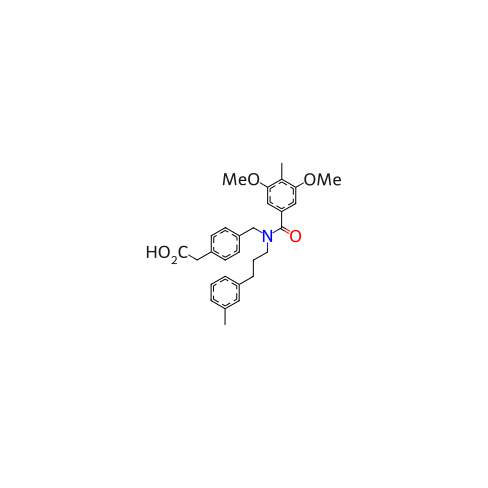 COc1cc(C(=O)N(CCCc2cccc(C)c2)Cc2ccc(CC(=O)O)cc2)cc(OC)c1C